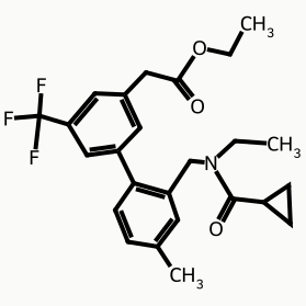 CCOC(=O)Cc1cc(-c2ccc(C)cc2CN(CC)C(=O)C2CC2)cc(C(F)(F)F)c1